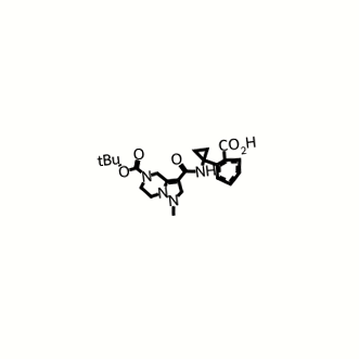 CN1CC(C(=O)NC2(c3ccccc3C(=O)O)CC2)=C2CN(C(=O)OC(C)(C)C)CCN21